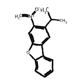 C=[N+]([O-])c1cc2oc3ccccc3c2cc1C(C)C